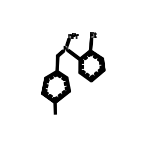 CCCN(Cc1ccc(C)cc1)c1ccccc1CC